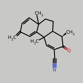 C=C1C=CC2(C)CCC3[C@@H](C)C(=O)C(C#N)=CC3(C)C2=C1